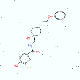 O=C(NC[C@]1(O)CC[C@@H](CCOc2ccccc2)CC1)c1ccc(O)c(F)c1